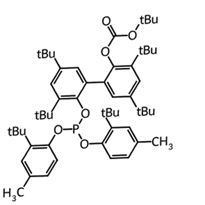 Cc1ccc(OP(Oc2ccc(C)cc2C(C)(C)C)Oc2c(-c3cc(C(C)(C)C)cc(C(C)(C)C)c3OC(=O)OC(C)(C)C)cc(C(C)(C)C)cc2C(C)(C)C)c(C(C)(C)C)c1